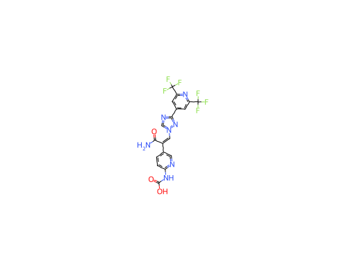 NC(=O)C(=Cn1cnc(-c2cc(C(F)(F)F)nc(C(F)(F)F)c2)n1)c1ccc(NC(=O)O)nc1